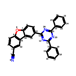 N#Cc1ccc2oc3ccc(-c4nc(-c5ccccc5)nc(-c5ccccc5)n4)cc3c2c1